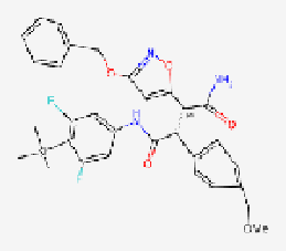 COCc1ccc(C(C(=O)Nc2cc(F)c([Si](C)(C)C)c(F)c2)[C@@H](C(N)=O)c2cc(OCc3ccccc3)no2)cc1